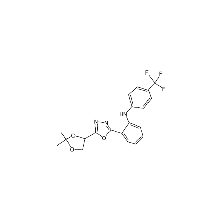 CC1(C)OCC(c2nnc(-c3ccccc3Nc3ccc(C(F)(F)F)cc3)o2)O1